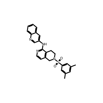 Cc1cc(C)cc(S(=O)(=O)N2CCc3c(ccnc3Nc3cnc4ccccc4c3)C2)c1